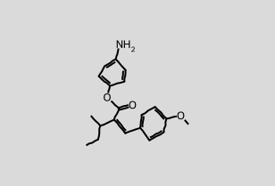 CCC(C)C(=Cc1ccc(OC)cc1)C(=O)Oc1ccc(N)cc1